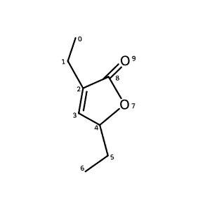 CCC1=CC(CC)OC1=O